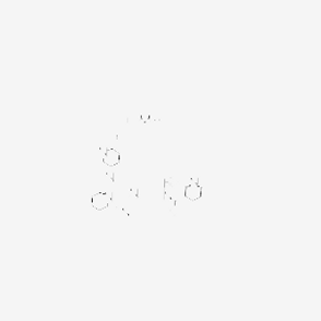 COCCOc1ccc(N(Cc2cccc(C#N)n2)C2CCN([C@H](C)CCNC(=O)c3c(C)cc(C)nc3Cl)CC2)cn1